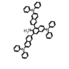 Nc1c(-c2ccc3cc(N(c4ccccc4)c4ccccc4)ccc3c2)cc2cc(N(c3ccccc3)c3ccccc3)ccc2c1-c1ccc2cc(N(c3ccccc3)c3ccccc3)ccc2c1